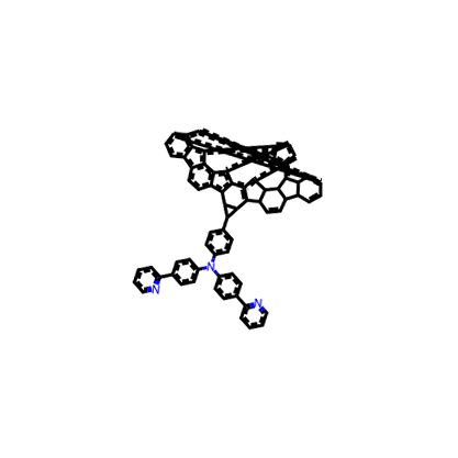 C1=CC2C3C4=c5c6c7c8c9c(c%10ccc%11c%12ccc%13c1c3c1c5c3c6c9c%10c%11c3c%12c%131)C1C(C=8C3C=CC2C4C73)C1c1ccc(N(c2ccc(-c3ccccn3)cc2)c2ccc(-c3ccccn3)cc2)cc1